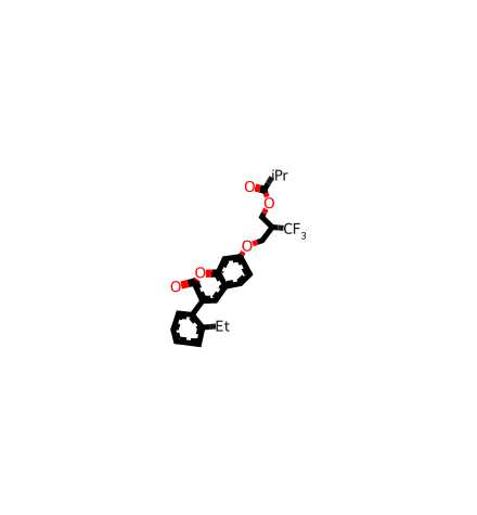 CCc1ccccc1-c1cc2ccc(OCC(COC(=O)C(C)C)C(F)(F)F)cc2oc1=O